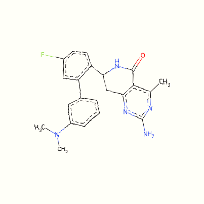 Cc1nc(N)nc2c1C(=O)NC(c1ccc(F)cc1-c1cccc(N(C)C)c1)C2